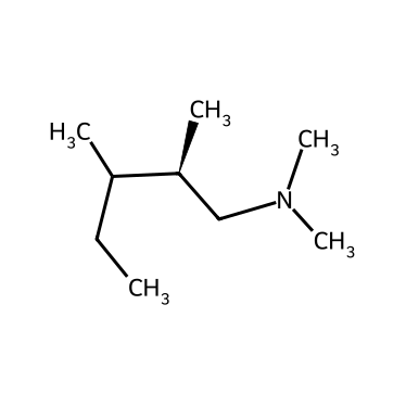 CCC(C)[C@@H](C)CN(C)C